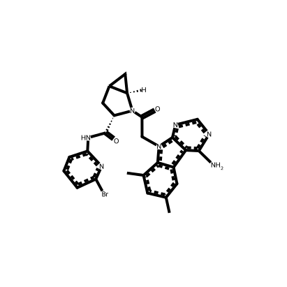 Cc1cc(C)c2c(c1)c1c(N)ncnc1n2CC(=O)N1[C@@H]2CC2C[C@H]1C(=O)Nc1cccc(Br)n1